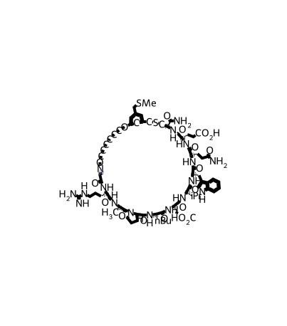 CCCC[C@@H]1NC(=O)[C@@H]2CCCN2C(=O)[C@H](C)NC(=O)[C@H](CCCNC(=N)N)NC(=O)/C=N/OCCCCCCOc2cc(CSC)cc(c2)CSC[C@@H](C(N)=O)NC(=O)[C@H](CCC(=O)O)NC(=O)[C@H](CCC(N)=O)NC(=O)[C@H](Cc2c[nH]c3ccccc23)NC(=O)[C@H](C(C)C)NC(=O)[C@H](CC(=O)O)NC1=O